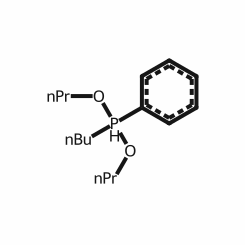 CCCC[PH](OCCC)(OCCC)c1ccccc1